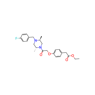 CCOC(=O)Cc1ccc(OCC(=O)N2C[C@H](C)N(Cc3ccc(F)cc3)C[C@H]2C)cc1